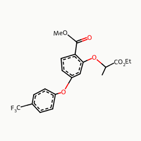 CCOC(=O)C(C)Oc1cc(Oc2ccc(C(F)(F)F)cc2)ccc1C(=O)OC